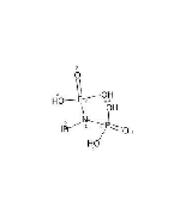 CC(C)N(P(=O)(O)O)P(=O)(O)O